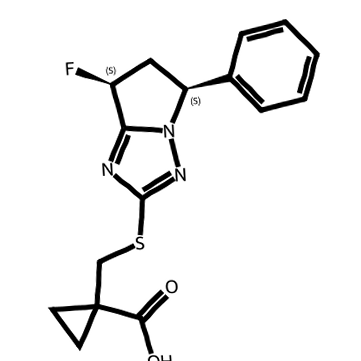 O=C(O)C1(CSc2nc3n(n2)[C@H](c2ccccc2)C[C@@H]3F)CC1